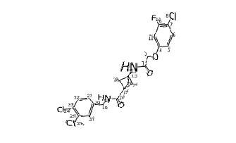 O=C(COc1ccc(Cl)c(F)c1)NC12CC(C(=O)NCc3ccc(Cl)c(Cl)c3)(C1)C2